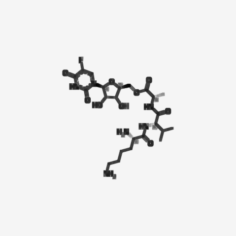 CC(C)[C@H](NC(=O)[C@@H](N)CCCCN)C(=O)N[C@@H](C)C(=O)OC[C@@H]1O[C@H](n2cc(F)c(=O)[nH]c2=O)C(O)C1O